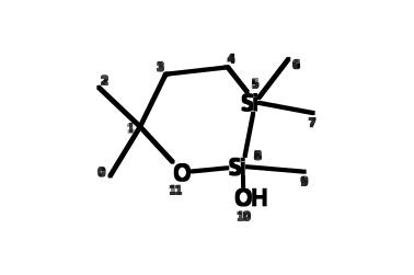 CC1(C)CC[Si](C)(C)[Si](C)(O)O1